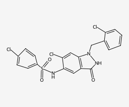 O=c1[nH]n(Cc2ccccc2Cl)c2cc(Cl)c(NS(=O)(=O)c3ccc(Cl)cc3)cc12